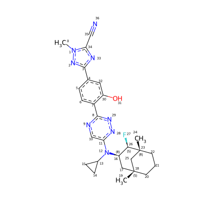 Cn1nc(-c2ccc(-c3ncc(N(C4CC4)[C@@H]4C[C@@]5(C)CCC[C@](C)(C5)[C@@H]4F)nn3)c(O)c2)nc1C#N